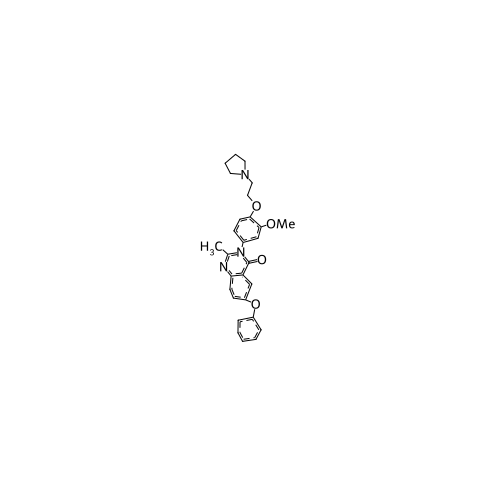 COc1cc(-n2c(C)nc3ccc(Oc4ccccc4)cc3c2=O)ccc1OCCN1CCCC1